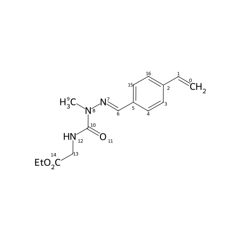 C=Cc1ccc(/C=N/N(C)C(=O)NCC(=O)OCC)cc1